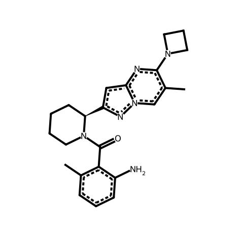 Cc1cn2nc([C@@H]3CCCCN3C(=O)c3c(C)cccc3N)cc2nc1N1CCC1